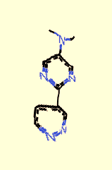 CN(C)c1cnc(-c2ccnnc2)nc1